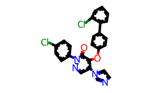 O=c1c(Oc2ccc(-c3ccccc3Cl)cc2)c(-n2ccnc2)cnn1-c1ccc(Cl)cc1